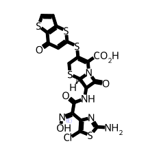 Nc1nc(/C(=N\O)C(=O)NC2C(=O)N3C(C(=O)O)=C(Sc4cc(=O)c5sccc5s4)CS[C@H]23)c(Cl)s1